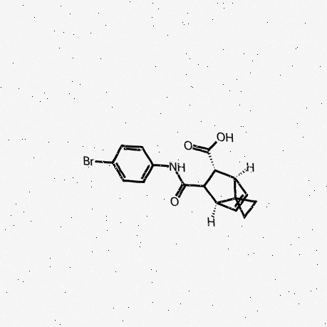 O=C(Nc1ccc(Br)cc1)C1[C@H](C(=O)O)[C@H]2C=C[C@@H]1C21CC1